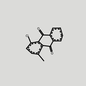 Cc1ccc(Cl)c2c1C(=O)c1ccccc1C2=O